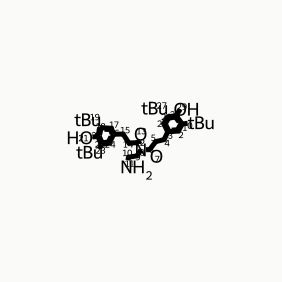 CC(C)(C)c1cc(CCC(=O)N(CCN)C(=O)CCc2cc(C(C)(C)C)c(O)c(C(C)(C)C)c2)cc(C(C)(C)C)c1O